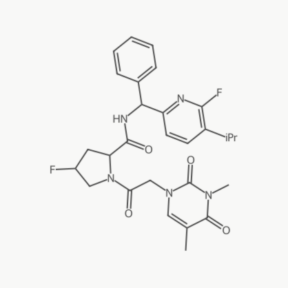 Cc1cn(CC(=O)N2CC(F)CC2C(=O)NC(c2ccccc2)c2ccc(C(C)C)c(F)n2)c(=O)n(C)c1=O